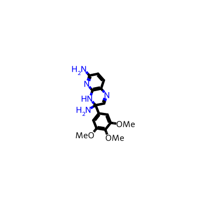 COc1cc(C2(N)C=Nc3ccc(N)nc3N2)cc(OC)c1OC